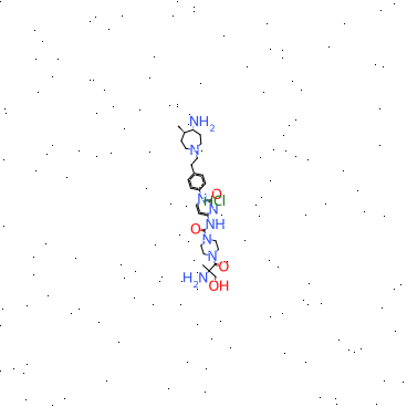 C[C@@H]1CCN(CCc2ccc(-n3ccc(NC(=O)N4CCN(C(=O)C(C)(N)CO)CC4)nc3=O)cc2)CC[C@H]1N.Cl